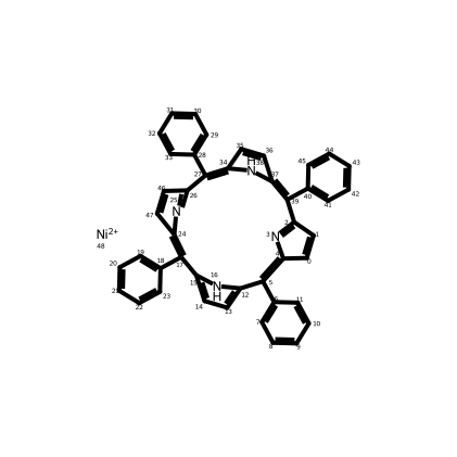 C1=Cc2nc1c(-c1ccccc1)c1ccc([nH]1)c(-c1ccccc1)c1nc(c(-c3ccccc3)c3ccc([nH]3)c2-c2ccccc2)C=C1.[Ni+2]